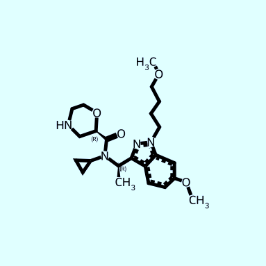 COCCCCn1nc([C@@H](C)N(C(=O)[C@H]2CNCCO2)C2CC2)c2ccc(OC)cc21